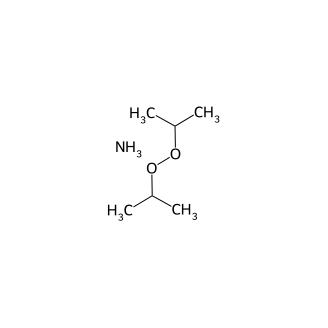 CC(C)OOC(C)C.N